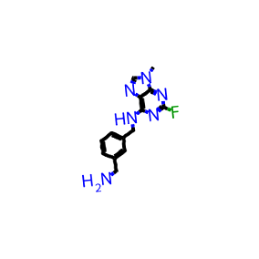 Cn1cnc2c(NCc3cccc(CN)c3)nc(F)nc21